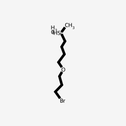 C[SiH](C)CCCCOCCCBr